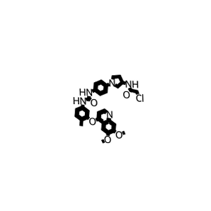 COc1cc2nccc(Oc3cc(NC(=O)Nc4ccc(N5CCC(NC(=O)CCl)C5)cc4)ccc3C)c2cc1OC